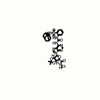 CCNC(=O)[C@H]1O[C@@H](n2cnc3c(NC(=O)Nc4ccccc4S(=O)(=O)NC45CC6CC(CC(C6)C4)C5)ncnc32)[C@@H]2OC(C)(C)O[C@@H]21